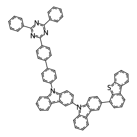 c1ccc(-c2nc(-c3ccccc3)nc(-c3ccc(-c4ccc(-n5c6ccccc6c6cc(-n7c8ccccc8c8cc(-c9cccc%10c9sc9ccccc9%10)ccc87)ccc65)cc4)cc3)n2)cc1